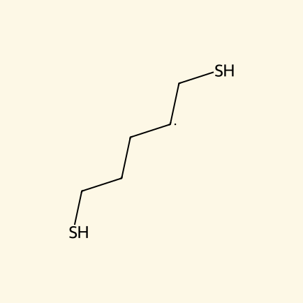 SC[CH]CCCS